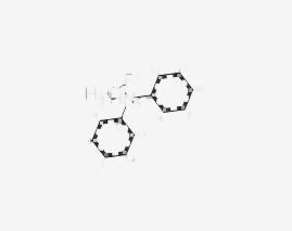 CF.c1ccc(Nc2ccccc2)cc1